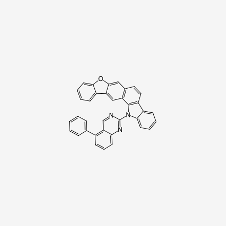 c1ccc(-c2cccc3nc(-n4c5ccccc5c5ccc6cc7oc8ccccc8c7cc6c54)ncc23)cc1